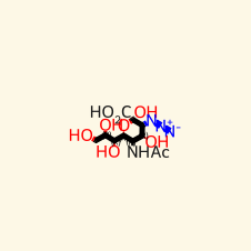 CC(=O)N[C@H]1[C@H]([C@H](O)[C@H](O)CO)OC(O)(C(=O)O)C(N=[N+]=[N-])[C@@H]1O